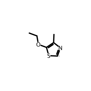 CCOc1s[c]nc1C